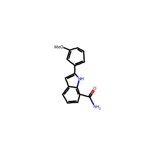 COc1cccc(-c2cc3cccc(C(N)=O)c3[nH]2)c1